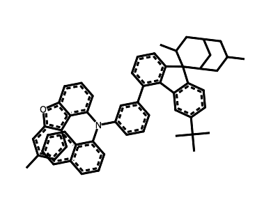 Cc1ccc2c(c1)oc1cccc(N(c3cccc(-c4cccc5c4-c4cc(C(C)(C)C)ccc4C54C(C)CC5CC(C)CC4C5)c3)c3cccc4ccccc34)c12